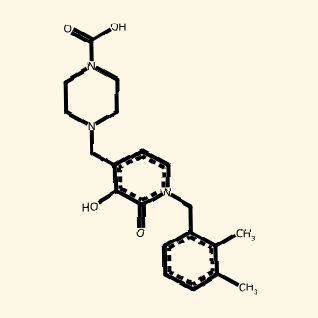 Cc1cccc(Cn2ccc(CN3CCN(C(=O)O)CC3)c(O)c2=O)c1C